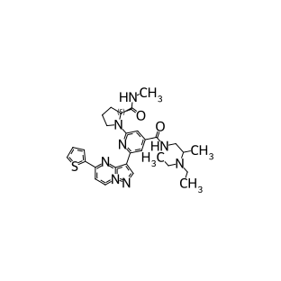 CCN(CC)C(C)CNC(=O)c1cc(-c2cnn3ccc(-c4cccs4)nc23)nc(N2CCC[C@H]2C(=O)NC)c1